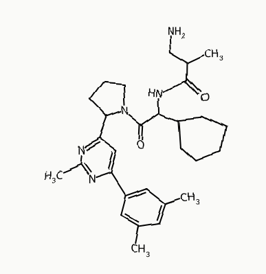 Cc1cc(C)cc(-c2cc(C3CCCN3C(=O)C(NC(=O)C(C)CN)C3CCCCC3)nc(C)n2)c1